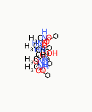 CC(C)[C@H](NC(=O)[C@H](C)NC(=O)OCc1ccccc1)C(=O)NC(CC(O)[C@H](Cc1ccccc1)NC(=O)[C@@H](NC(=O)[C@H](C)NC(=O)OCc1ccccc1)C(C)C)c1ccccc1